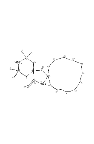 CC1(C)CC2(CC(C)(C)N1)OC1(CCCCCCCCCCC1)NC2=O